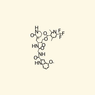 COc1cccc2[nH]c(C(=O)NCC(=O)NC(C[C@@H]3CCCNC3=O)C(=O)COC(=O)c3c(C)cc(C(F)(F)F)nc3C)cc12